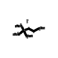 CCCCCCCCCCCC[P+](CCCCC)(CCCCC)CCCCC.[I-]